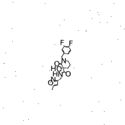 Cc1cc(CNC(=O)C2(O)CCCN(Cc3ccc(F)c(F)c3)C2=O)no1